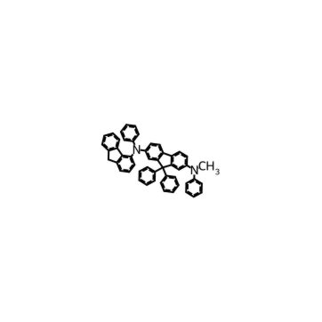 CN(c1ccccc1)c1ccc2c(c1)C(c1ccccc1)(c1ccccc1)c1cc(N(c3ccccc3)c3cccc4c3-c3ccccc3C4)ccc1-2